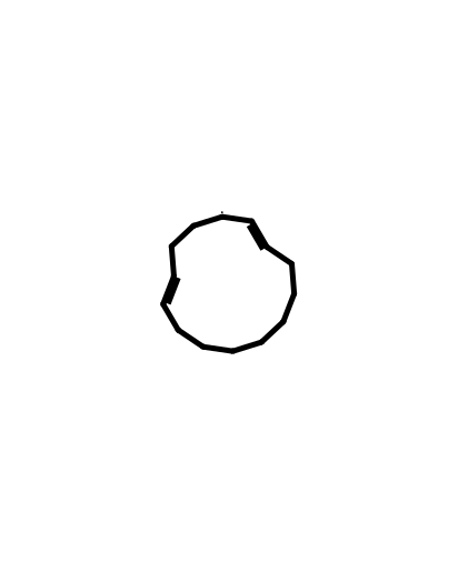 [CH]1/C=C/CCCCCCC/C=C/CC1